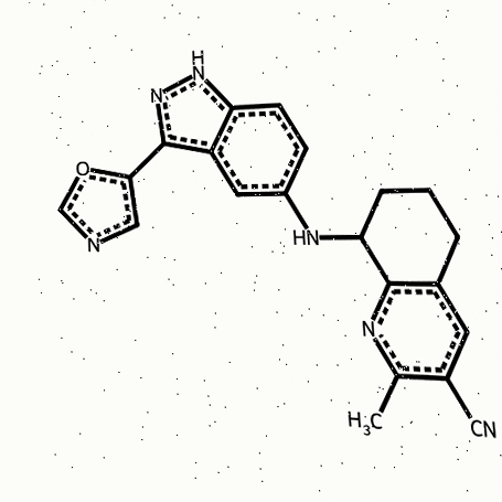 Cc1nc2c(cc1C#N)CCCC2Nc1ccc2[nH]nc(-c3cnco3)c2c1